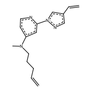 C=CCCCN(C)c1ccnc(-n2cc(C=C)cn2)c1